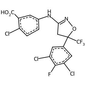 O=C(O)c1cc(NC2=NOC(c3cc(Cl)c(F)c(Cl)c3)(C(F)(F)F)C2)ccc1Cl